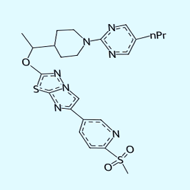 CCCc1cnc(N2CCC(C(C)Oc3nn4cc(-c5ccc(S(C)(=O)=O)nc5)nc4s3)CC2)nc1